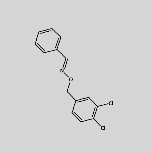 Clc1ccc(CON=Cc2ccccc2)cc1Cl